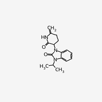 C=C1CCC(n2c(=O)n(C(C)C)c3ccccc32)C(=O)N1